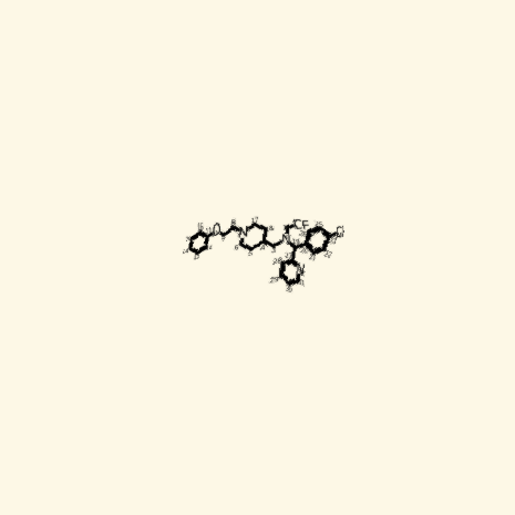 FC(F)(F)CN(CC1CCN(CCOc2ccccc2)CC1)C(c1ccc(Cl)cc1)c1ccccn1